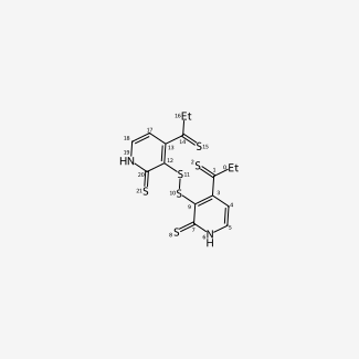 CCC(=S)c1cc[nH]c(=S)c1SSc1c(C(=S)CC)cc[nH]c1=S